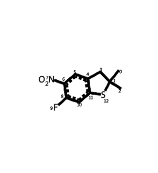 CC1(C)Cc2cc([N+](=O)[O-])c(F)cc2S1